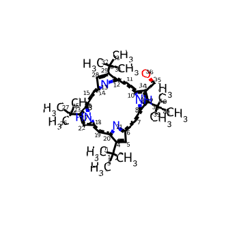 CC(C)(C)C1=Cc2cc3[nH]c(cc4nc(cc5[nH]c(cc1n2)cc5C(C)(C)C)C=C4C(C)(C)C)c(C=O)c3C(C)(C)C